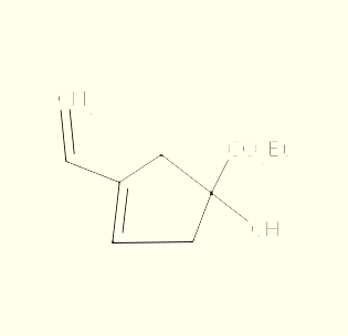 C=CC1=CCC(C)(C(=O)OCC)C1